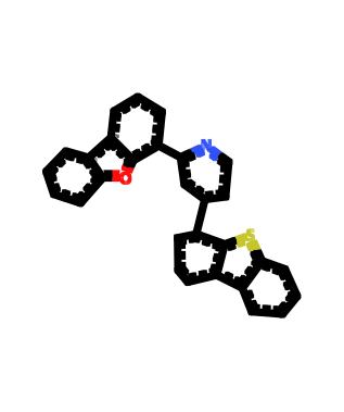 c1ccc2c(c1)oc1c(-c3cc(-c4cccc5c4sc4ccccc45)ccn3)cccc12